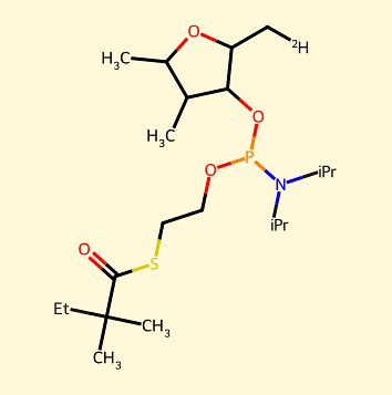 [2H]CC1OC(C)C(C)C1OP(OCCSC(=O)C(C)(C)CC)N(C(C)C)C(C)C